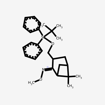 CO/N=C1/C(CO[Si](c2ccccc2)(c2ccccc2)C(C)(C)C)CC2CC1C2(C)C